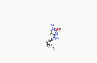 CCC#CNc1cc[nH]c(=O)n1